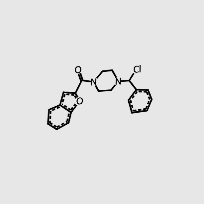 O=C(c1cc2ccccc2o1)N1CCN(C(Cl)c2ccccc2)CC1